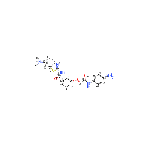 CN(C)[C@H]1CCc2nc(NC(=O)c3cccc(OCC(=O)Nc4ccc(N)cc4)c3)sc2C1